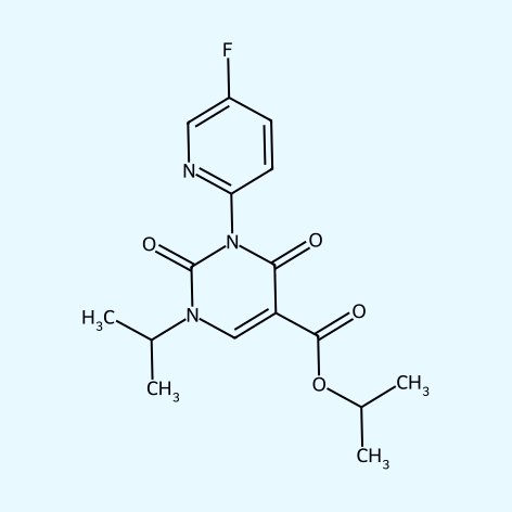 CC(C)OC(=O)c1cn(C(C)C)c(=O)n(-c2ccc(F)cn2)c1=O